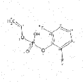 C=COP(=O)(O)Oc1c(F)cccc1F